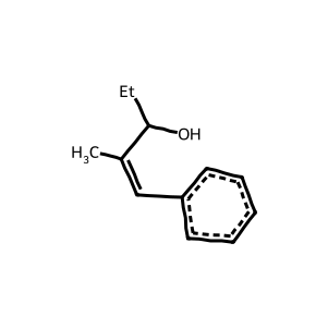 CCC(O)C(C)=Cc1ccccc1